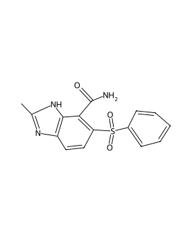 Cc1nc2ccc(S(=O)(=O)c3ccccc3)c(C(N)=O)c2[nH]1